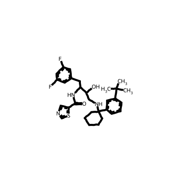 CC(C)(C)c1cccc(C2(NCC(O)C(Cc3cc(F)cc(F)c3)NC(=O)c3cncs3)CCCCC2)c1